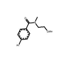 COCCN(C)C(=O)c1ccc(C(C)=O)cc1